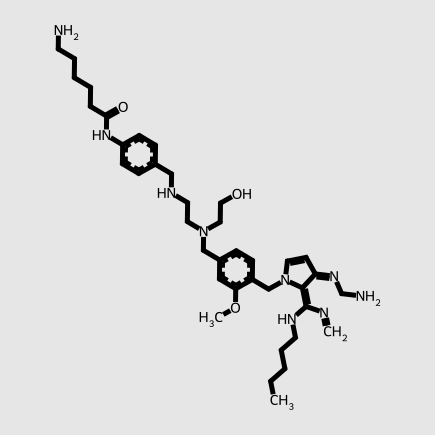 C=N/C(NCCCCC)=C1\C(=N/CN)C=CN1Cc1ccc(CN(CCO)CCNCc2ccc(NC(=O)CCCCCN)cc2)cc1OC